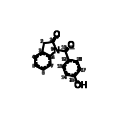 O=C1Cc2ccccc2N1C(=O)c1ccc(O)cc1